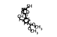 CCc1cc(C(OC)OC)sc1-c1nnc(S)o1